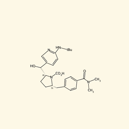 CN(C)C(=O)c1ccc(C[C@@H]2CC[C@H](C(O)c3ccc(NC(C)(C)C)nc3)N2C(=O)O)cc1